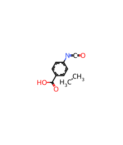 CC.O=C=Nc1ccc(C(=O)O)cc1